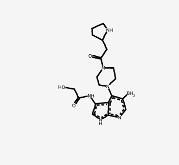 Bc1cnc2[nH]cc(NC(=O)CO)c2c1N1CCN(C(=O)CC2CCCN2)CC1